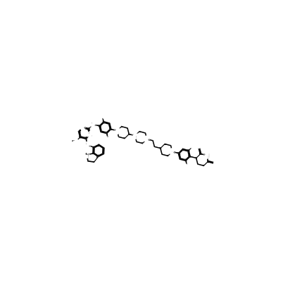 C=C1CCC(c2c(F)cc(N3CCC(CCN4CCN(C5CCN(c6cc(CC)c(Nc7ncc(SF)c(N8SN9CCc%10cccc8c%109)n7)cc6CC)CC5)CC4)CC3)cc2F)C(=C)N1